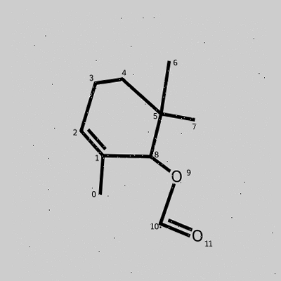 CC1=CCCC(C)(C)C1O[C]=O